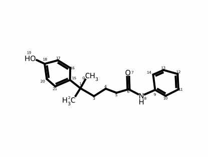 CC(C)(CCCC(=O)Nc1ccccc1)c1ccc(O)cc1